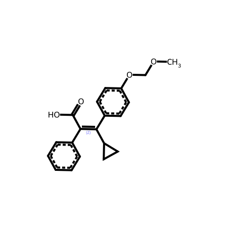 COCOc1ccc(/C(=C(\C(=O)O)c2ccccc2)C2CC2)cc1